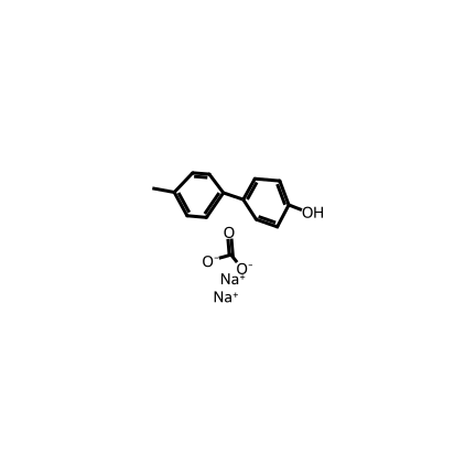 Cc1ccc(-c2ccc(O)cc2)cc1.O=C([O-])[O-].[Na+].[Na+]